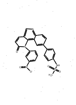 CS(=O)(=O)Nc1ccc(-c2ccc3ncc4ccc(=O)n(-c5cccc([N+](=O)[O-])c5)c4c3c2)cc1